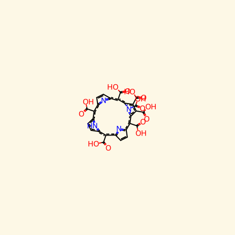 O=C(O)c1c2nc(c(C(=O)O)c3c(C(=O)O)c(C(=O)O)c(c(C(=O)O)c4nc(c(C(=O)O)c5ccc1[nH]5)C=C4)n3C(=O)O)C=C2